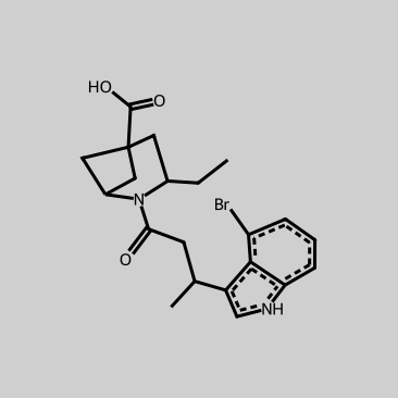 CCC1CC2(C(=O)O)CC(C2)N1C(=O)CC(C)c1c[nH]c2cccc(Br)c12